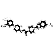 N#Cc1ccc(N2CCC(OCC(=O)N3CCN(c4nc5cc(C(F)(F)F)ccc5s4)CC3)CC2)cc1C(F)(F)F